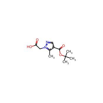 Cc1c(C(=O)OC(C)(C)C)cnn1CC(=O)O